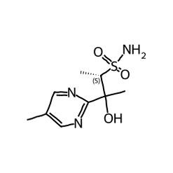 Cc1cnc(C(C)(O)[C@H](C)S(N)(=O)=O)nc1